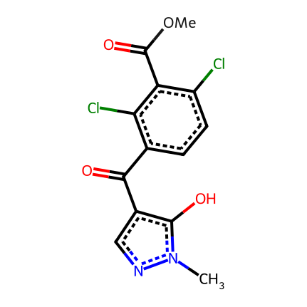 COC(=O)c1c(Cl)ccc(C(=O)c2cnn(C)c2O)c1Cl